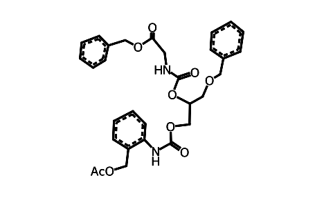 CC(=O)OCc1ccccc1NC(=O)OCC(COCc1ccccc1)OC(=O)NCC(=O)OCc1ccccc1